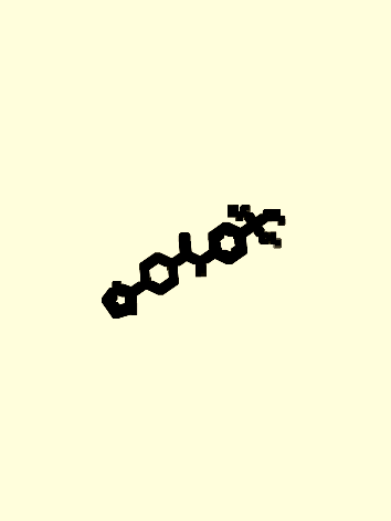 C[Si](C)(C)c1ccc(NC(=O)N2CCN(c3nccs3)CC2)cc1